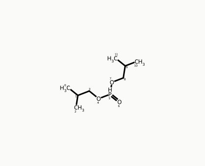 CC(C)CO[PH](=O)OCC(C)C